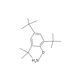 CC(C)(C)c1cc(C(C)(C)C)c(O[SiH2])c(C(C)(C)C)c1